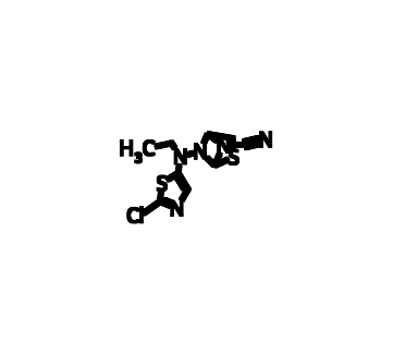 CCN(c1cnc(Cl)s1)N1C2CSC1N2C#N